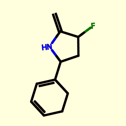 C=C1NC(C2=CC=CCC2)CC1F